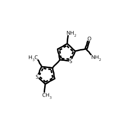 Cc1cc(-c2cc(N)c(C(N)=O)s2)c(C)s1